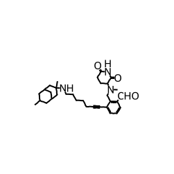 CC1CC2CC(C1)CC(C)(NCCCCCC#Cc1cccc(C=O)c1CN(C)C1CCC(=O)NC1=O)C2